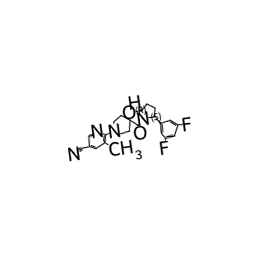 Cc1cc(C#N)cnc1N1CCC2(CC1)O[C@@H]1CC[C@@H](c3cc(F)cc(F)c3)N1C2=O